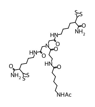 CC(=O)NCCCCCC(=O)NCCC(=O)N(CC(=O)NCCCCC(C(N)=O)C1SS1)CC(=O)NCCCCC(C(N)=O)C1SS1